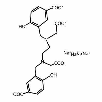 O=C([O-])CN(CCN(CC(=O)[O-])Cc1cc(C(=O)[O-])ccc1O)Cc1cc(C(=O)[O-])ccc1O.[Na+].[Na+].[Na+].[Na+]